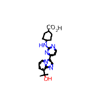 CC(C)(O)c1cccn2c(-c3ccnc(NC4CCC(C(=O)O)CC4)n3)cnc12